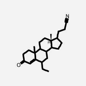 CCC1CC2C(CC[C@]3(C)C(CCC#N)CCC23)C2(C)CCC(=O)C=C12